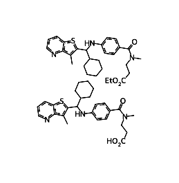 CCOC(=O)CCN(C)C(=O)c1ccc(NC(c2sc3cccnc3c2C)C2CCCCC2)cc1.Cc1c(C(Nc2ccc(C(=O)N(C)CCC(=O)O)cc2)C2CCCCC2)sc2cccnc12